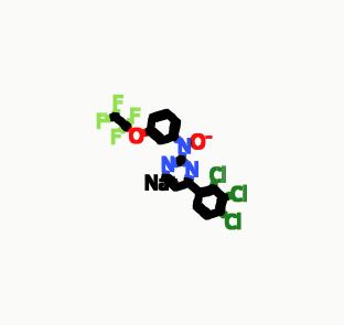 [Na+].[O-]N(c1cccc(OC(F)(F)C(F)F)c1)c1nccc(-c2ccc(Cl)c(Cl)c2Cl)n1